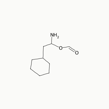 NC(CC1CCCCC1)OC=O